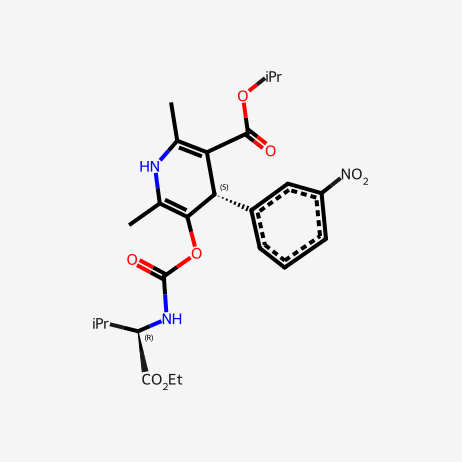 CCOC(=O)[C@H](NC(=O)OC1=C(C)NC(C)=C(C(=O)OC(C)C)[C@@H]1c1cccc([N+](=O)[O-])c1)C(C)C